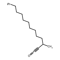 CC(C)CCCCCCCCCC(C)C#P=O